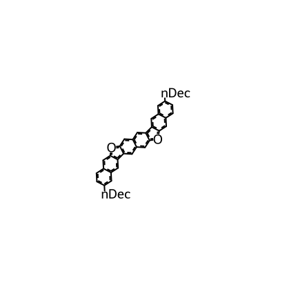 CCCCCCCCCCc1ccc2cc3oc4cc5cc6c(cc5cc4c3cc2c1)oc1cc2ccc(CCCCCCCCCC)cc2cc16